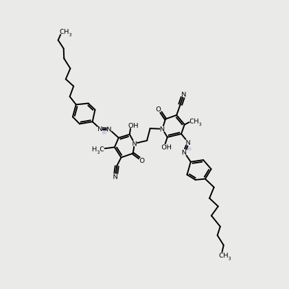 CCCCCCCCc1ccc(/N=N/c2c(C)c(C#N)c(=O)n(CCn3c(O)c(/N=N/c4ccc(CCCCCCCC)cc4)c(C)c(C#N)c3=O)c2O)cc1